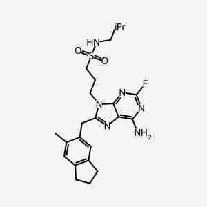 Cc1cc2c(cc1Cc1nc3c(N)nc(F)nc3n1CCCS(=O)(=O)NCC(C)C)CCC2